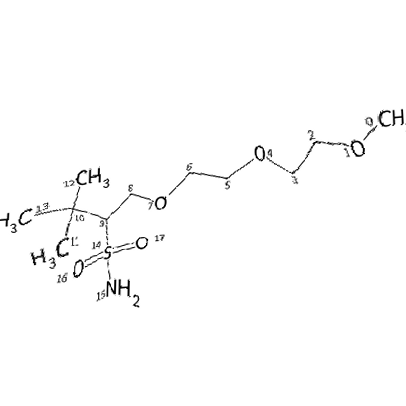 COCCOCCOCC(C(C)(C)C)S(N)(=O)=O